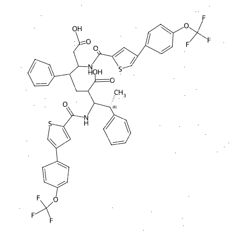 C[C@H](c1ccccc1)C(NC(=O)c1cc(-c2ccc(OC(F)(F)F)cc2)cs1)C(CC(c1ccccc1)C(CC(=O)O)NC(=O)c1cc(-c2ccc(OC(F)(F)F)cc2)cs1)C(=O)O